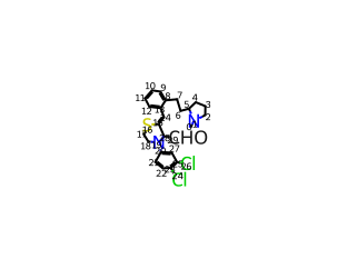 CN1CCCC1CCc1ccccc1C=C1SCCN(c2ccc(Cl)c(Cl)c2)C1C=O